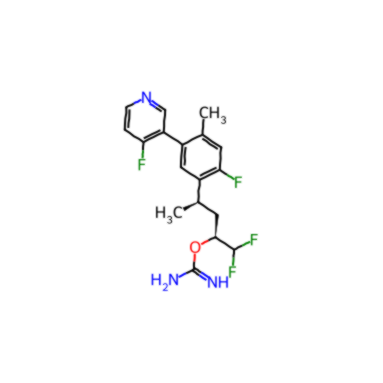 Cc1cc(F)c([C@H](C)C[C@H](OC(=N)N)C(F)F)cc1-c1cnccc1F